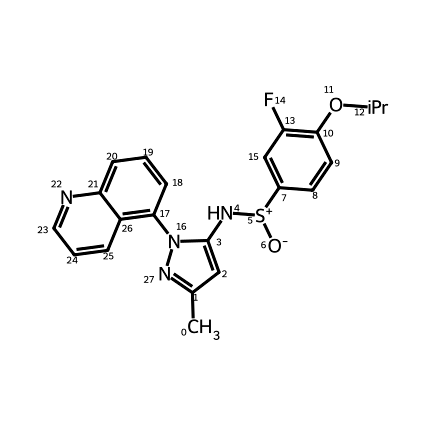 Cc1cc(N[S+]([O-])c2ccc(OC(C)C)c(F)c2)n(-c2cccc3ncccc23)n1